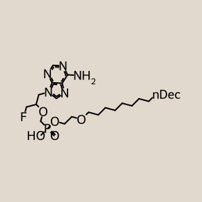 CCCCCCCCCCCCCCCCCCOCCOP(=O)(O)COC(CF)Cn1cnc2c(N)ncnc21